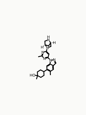 Cc1nc(N2C[C@H]3C[C@@H]2CN3)cc(-n2ncc3cc(C)c(C4CCC(C)(O)CC4)cc32)n1